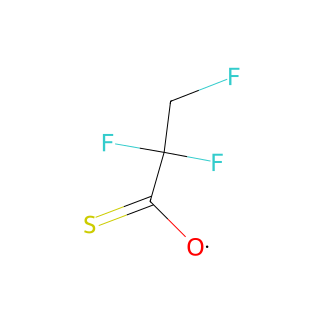 [O]C(=S)C(F)(F)CF